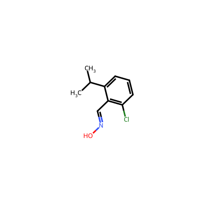 CC(C)c1cccc(Cl)c1C=NO